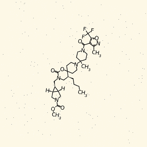 CCCC[C@H]1CN(C[C@H]2[C@@H]3CN(C(=O)OC)C[C@@H]32)C(=O)OC12CCN(C1(C)CCN(C(=O)c3c(C)noc3C(F)(F)F)CC1)CC2